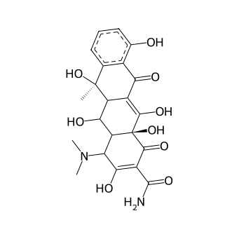 CN(C)C1C(O)=C(C(N)=O)C(=O)[C@@]2(O)C(O)=C3C(=O)c4c(O)cccc4[C@](C)(O)C3C(O)C12